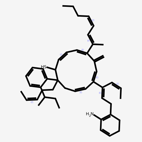 C=C1/C=C(C(/C=C\C)=C/CC2=C(N)C=CCC2)\C=C/CC(CC/C=C\C)(c2ccccc2C(C)CC)C(S)\C=C/C=C1/C(C)=C/C=C\CCC